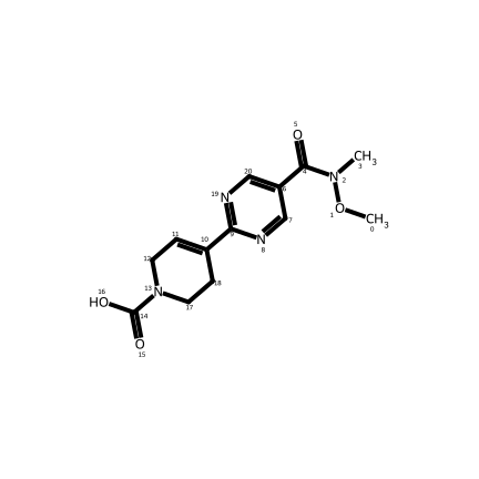 CON(C)C(=O)c1cnc(C2=CCN(C(=O)O)CC2)nc1